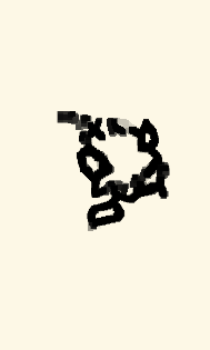 Cc1oc(-c2cccc(Br)c2)nc1CC(NCc1ccc(OC(C)(C)C(=O)O)cc1)c1ccncc1